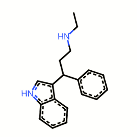 CCNCCC(c1ccccc1)c1c[nH]c2ccccc12